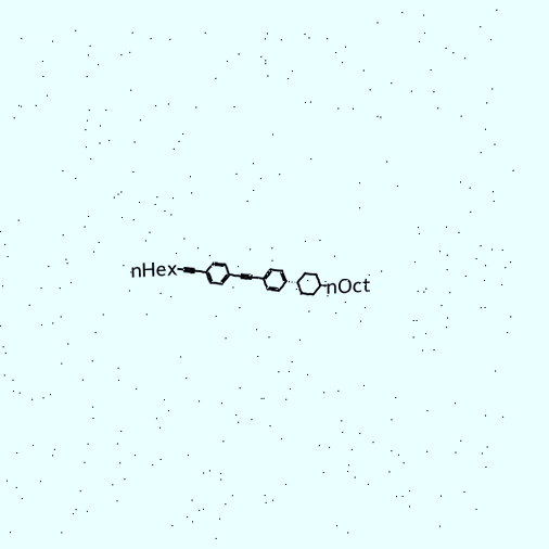 CCCCCCC#Cc1ccc(C#Cc2ccc([C@H]3CC[C@H](CCCCCCCC)CC3)cc2)cc1